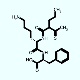 CCCC(C(=O)N[C@@H](CCCCN)C(=O)N[C@@H](Cc1ccccc1)C(=O)O)C(C)=S